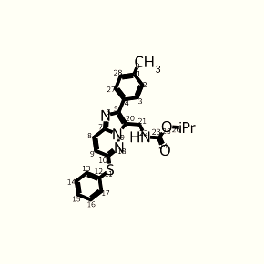 Cc1ccc(-c2nc3ccc(Sc4ccccc4)nn3c2CNC(=O)OC(C)C)cc1